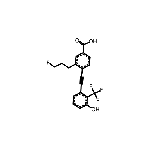 O=C(O)c1ccc(C#Cc2cccc(O)c2C(F)(F)F)c(CCCF)c1